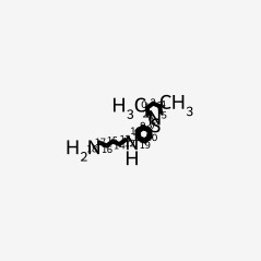 C[C@@H]1C[C@H](C)CN(Sc2ccc(NCCCCCN)cc2)C1